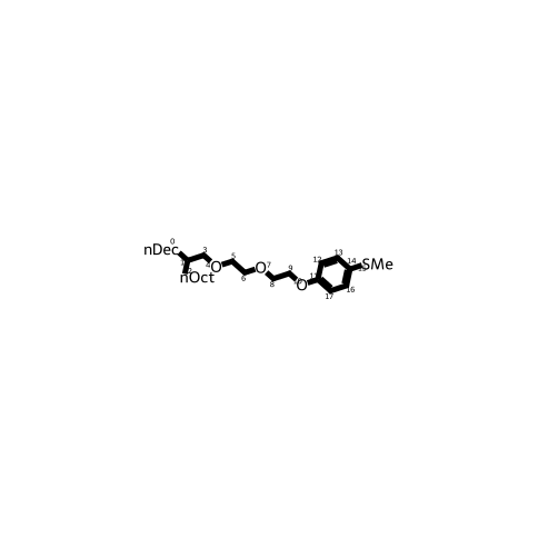 CCCCCCCCCCC(CCCCCCCC)COCCOCCOc1ccc(SC)cc1